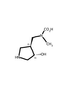 CN(C[C@@H]1CNC[C@H]1O)C(=O)O